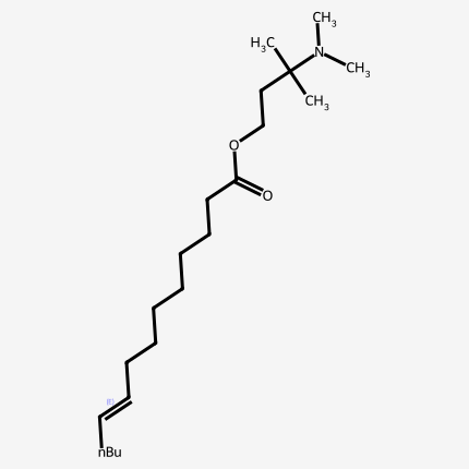 CCCC/C=C/CCCCCCCC(=O)OCCC(C)(C)N(C)C